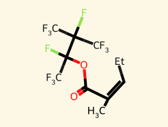 CCC=C(C)C(=O)OC(F)(C(F)(F)F)C(F)(C(F)(F)F)C(F)(F)F